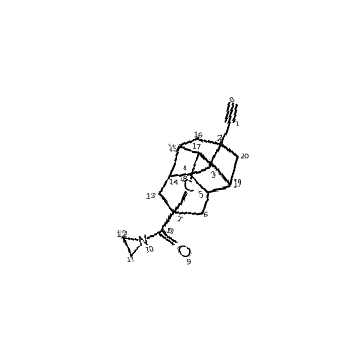 C#CC12CC3C4CC5(C(=O)N6CC6)CC3C(C1)C(C5)C4C2